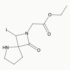 CCOC(=O)CN1C(=O)C2(CCCN2)C1I